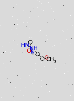 COc1cccc(-c2ccc3c(c2)CCN(C(=O)Nc2c[nH]c4ccccc24)C3)c1